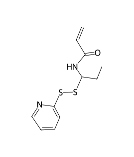 C=CC(=O)NC(CC)SSc1ccccn1